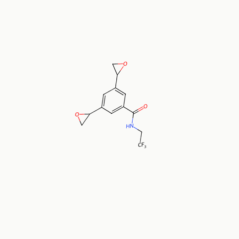 O=C(NCC(F)(F)F)c1cc(C2CO2)cc(C2CO2)c1